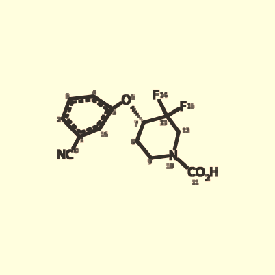 N#Cc1cccc(O[C@H]2CCN(C(=O)O)CC2(F)F)c1